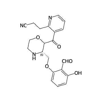 N#CCCc1ncccc1C(=O)C1OCCN[C@H]1COc1cccc(O)c1C=O